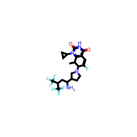 CC1c2c(c(=O)[nH]c(=O)n2C2CC2)C=C(F)C1N1CCC(C(N)CC(C(F)(F)F)C(F)(F)F)C1